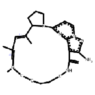 C=C1NCCCCCN(C)/C=C(C)\C=C(/C)C2CCCN2c2ccn3nc(N)c1c3n2